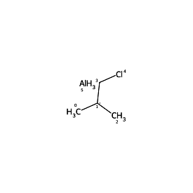 C[C](C)CCl.[AlH3]